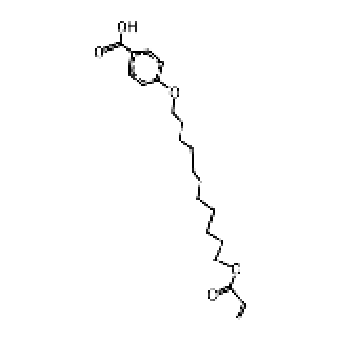 C=CC(=O)OCCCCCCCCCCCOc1ccc(C(=O)O)cc1